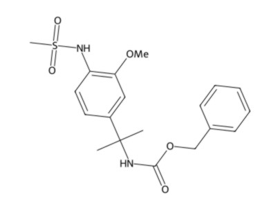 COc1cc(C(C)(C)NC(=O)OCc2ccccc2)ccc1NS(C)(=O)=O